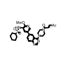 COc1ncc(-c2ccc3ncnc(N4CCN(C(=O)/C=C/C(C)=O)CC4)c3c2)cc1NS(=O)(=O)C1CCCCC1